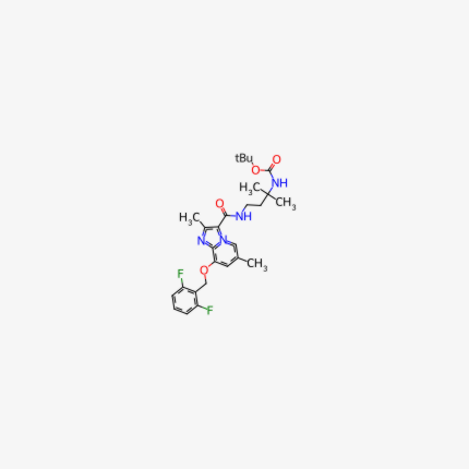 Cc1cc(OCc2c(F)cccc2F)c2nc(C)c(C(=O)NCCC(C)(C)NC(=O)OC(C)(C)C)n2c1